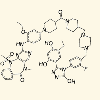 CCOc1cc(N2CCC(C(=O)N3CCC(CN4CCN(Cc5ccc(-n6c(O)nnc6-c6cc(CC)c(O)cc6O)cc5F)CC4)CC3)CC2)ccc1Nc1ncc2c(n1)N(S(C)(=O)=O)c1ccccc1C(=O)N2C